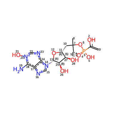 C=C(O)P(=O)(O)OC(C)(CC)C[C@H]1O[C@@H](n2cnc3c(N)[n+](O)cnc32)[C@H](O)[C@@H]1O